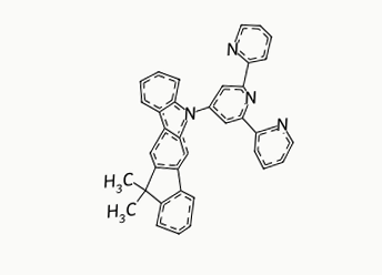 CC1(C)c2ccccc2-c2cc3c(cc21)c1ccccc1n3-c1cc(-c2ccccn2)nc(-c2ccccn2)c1